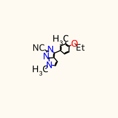 CCOc1ccc(-c2nc(C#N)nc3c2ccn3C)cc1C